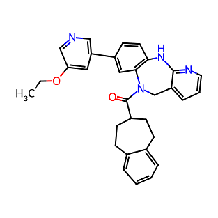 CCOc1cncc(-c2ccc3c(c2)N(C(=O)C2CCc4ccccc4CC2)Cc2cccnc2N3)c1